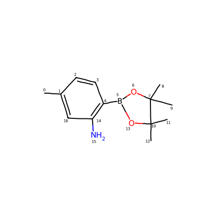 Cc1ccc(B2OC(C)(C)C(C)(C)O2)c(N)c1